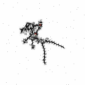 CCCCCCCCCCCCCCCC(=O)OC[C@H](CSC[C@H](NC(C)=O)C(=O)N[C@H](COC(C)(C)C)C(=O)N[C@@H](CCCCNC(=O)OC(C)(C)C)C(=O)N[C@@H](CCCCNC(=O)OC(C)(C)C)C(=O)N[C@@H](CCCCNC(=O)OC(C)(C)C)C(=O)NC(CCCCNC(=O)OC(C)(C)C)(CCCCNC(=O)OC(C)(C)C)C(=O)OCc1ccccc1)OC(=O)CCCCCCCCCCCCCCC